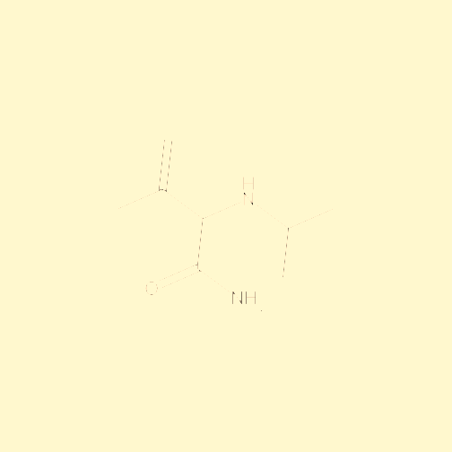 C=C(C)C(NC(C)C)C(N)=O